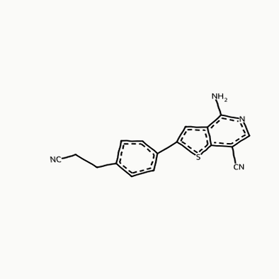 N#CCCc1ccc(-c2cc3c(N)ncc(C#N)c3s2)cc1